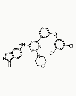 Clc1cc(Cl)cc(Oc2cccc(-c3cc(Nc4ccc5[nH]ncc5c4)nc(N4CCOCC4)n3)c2)c1